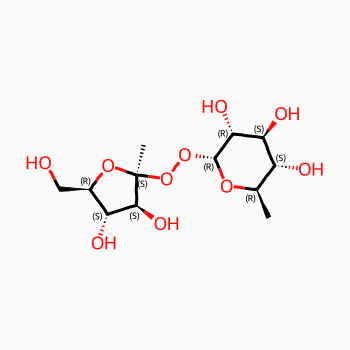 C[C@H]1O[C@H](OO[C@]2(C)O[C@H](CO)[C@@H](O)[C@@H]2O)[C@H](O)[C@@H](O)[C@@H]1O